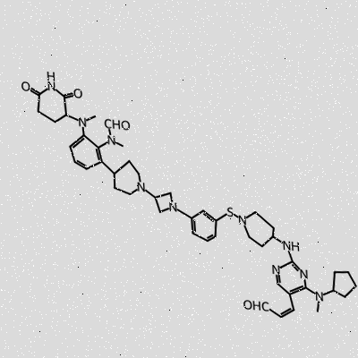 CN(C=O)c1c(C2CCN(C3CN(c4cccc(SN5CCC(Nc6ncc(/C=C\C=O)c(N(C)C7CCCC7)n6)CC5)c4)C3)CC2)cccc1N(C)C1CCC(=O)NC1=O